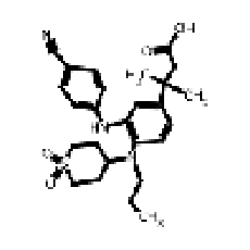 CCCN(c1ccc(C(C)(C)CC(=O)O)cc1Nc1ccc(C#N)cc1)C1CCS(=O)(=O)CC1